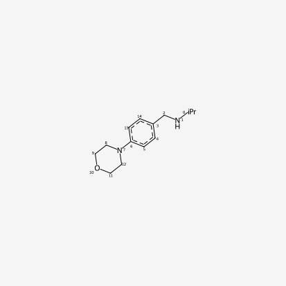 CC(C)NCc1ccc(N2CCOCC2)cc1